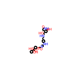 O=C(COc1cccc([C@](O)(C(=O)O)c2ccccc2)c1)N1CC(Nc2ccc(CCNC[C@H](O)c3ccc(O)c4[nH]c(=O)ccc34)cc2)C1